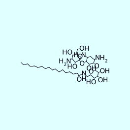 CCCCCCCCCCCCCCCCCC(=O)NCC1O[C@H](OC2C(N)CC(N)C(OC3O[C@H](CO)C(O)C(N)[C@H]3O)[C@H]2O)C(O)C(O)[C@@H]1O